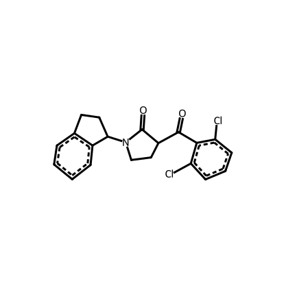 O=C(c1c(Cl)cccc1Cl)C1CCN(C2CCc3ccccc32)C1=O